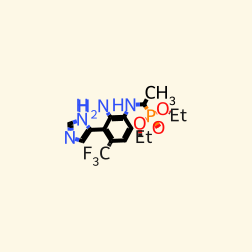 CCOP(=O)(OCC)C(C)Nc1ccc(C(F)(F)F)c(-c2cnc[nH]2)c1N